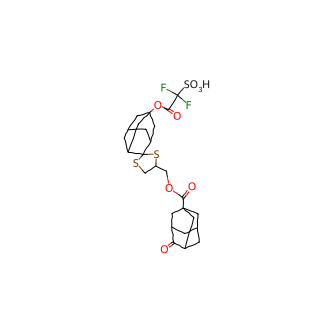 O=C1C2CC3CC1CC(C(=O)OCC1CSC4(S1)C1CC5CC4CC(OC(=O)C(F)(F)S(=O)(=O)O)(C5)C1)(C3)C2